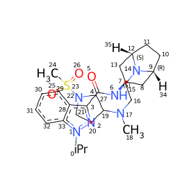 CC(C)n1nc(C(=O)N[C@@H]2C[C@H]3CC[C@@H](C2)N3CCN(C)C2CCN(S(C)(=O)=O)C2)c2ccccc21